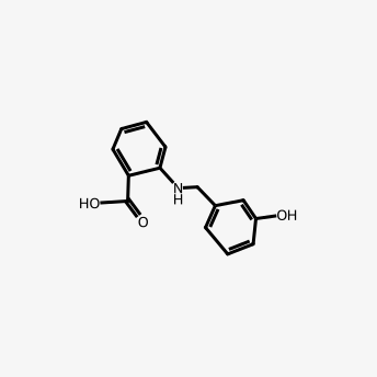 O=C(O)c1ccccc1NCc1cccc(O)c1